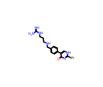 CC(C)c1nc(=O)c(-c2ccc(CNCCCNC(=N)N)cc2)c[nH]1